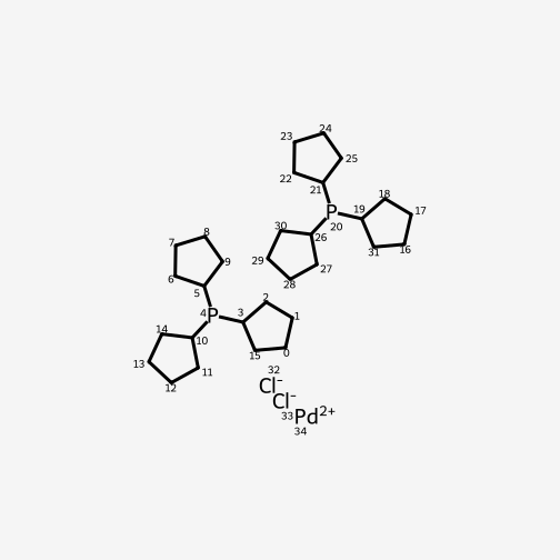 C1CCC(P(C2CCCC2)C2CCCC2)C1.C1CCC(P(C2CCCC2)C2CCCC2)C1.[Cl-].[Cl-].[Pd+2]